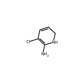 NC1=C(Cl)C=CCN1